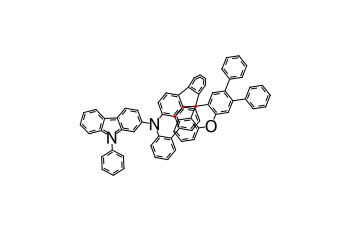 c1ccc(-c2cc3c(cc2-c2ccccc2)C2(c4ccccc4O3)c3ccccc3-c3ccc(N(c4ccc5c6ccccc6n(-c6ccccc6)c5c4)c4ccccc4-c4ccccc4)cc32)cc1